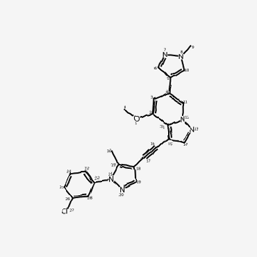 COc1cc(-c2cnn(C)c2)cn2ncc(C#Cc3cnn(-c4cccc(Cl)c4)c3C)c12